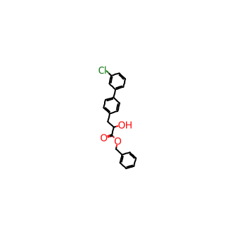 O=C(OCc1ccccc1)C(O)Cc1ccc(-c2cccc(Cl)c2)cc1